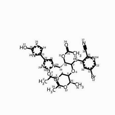 CC(=O)OCC(OC(Sc1cc(Br)cnc1C#N)[C@H](Cn1cc(-c2csc(O)n2)nn1)OC(C)=O)[C@@H](C)OC(C)=O